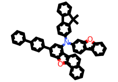 CC1(C)c2ccccc2-c2ccc(N(c3ccc4c(c3)oc3ccccc34)c3cc(-c4ccc(-c5ccccc5)cc4)cc4oc5c6ccccc6ccc5c34)cc21